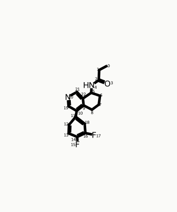 CCC(=O)NC1CCCc2c(-c3ccc(F)c(F)c3)cncc21